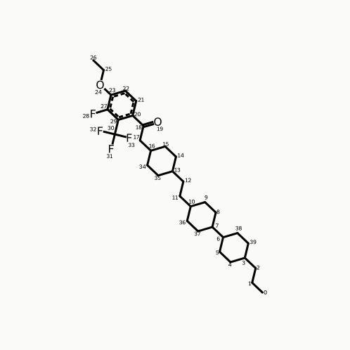 CCCC1CCC(C2CCC(CCC3CCC(CC(=O)c4ccc(OCC)c(F)c4C(F)(F)F)CC3)CC2)CC1